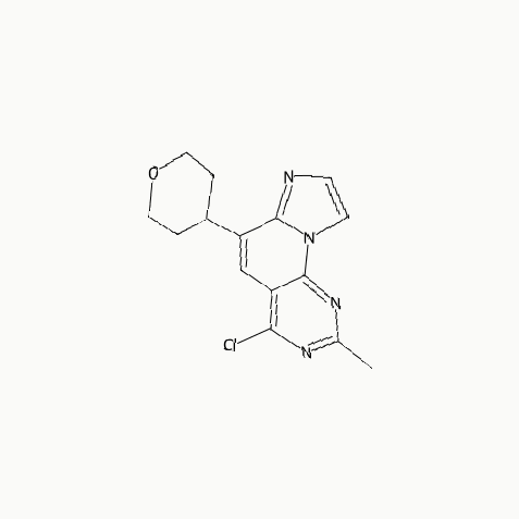 Cc1nc(Cl)c2cc(C3CCOCC3)c3nccn3c2n1